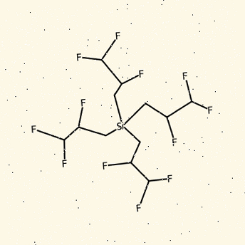 FC(F)C(F)C[Si](CC(F)C(F)F)(CC(F)C(F)F)CC(F)C(F)F